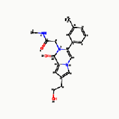 CC(C)NC(=O)Cn1c(-c2cccc(C(F)(F)F)c2)cn2cc(CCO)cc2c1=O